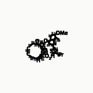 COc1ccc2c(O[C@@H]3C[C@H]4C(=O)N[C@]5(C(=O)O)C[C@H]5/C=C\CCCCCCC(=O)N4C3)cc(-c3nc(C(C)C)cs3)nc2c1C